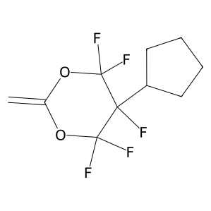 C=C1OC(F)(F)C(F)(C2CCCC2)C(F)(F)O1